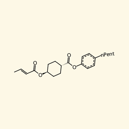 CC=CC(=O)O[C@H]1CC[C@H](C(=O)Oc2ccc(CCCCC)cc2)CC1